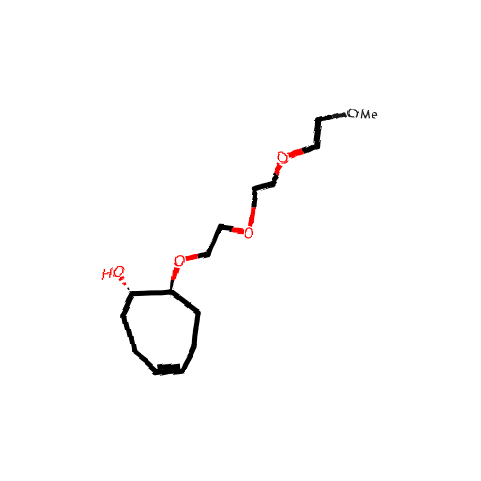 COCCOCCOCCO[C@H]1CC/C=C\CC[C@@H]1O